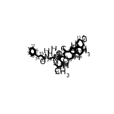 CC1=C2C[C@H]3[C@@H](CC[C@@H]4CC(=O)CC[C@@]43C)[C@@H]2CC[C@@]2(C1)O[C@@H]1C[C@H](C)CN(CCNC(=O)CCc3ccccc3)[C@H]1[C@H]2C